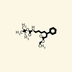 CCOC(=O)CC(CCCCNC(=O)OC(C)(C)C)c1ccccc1